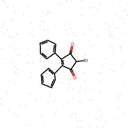 CCC1C(=O)C(c2ccccc2)=C(c2ccccc2)C1=O